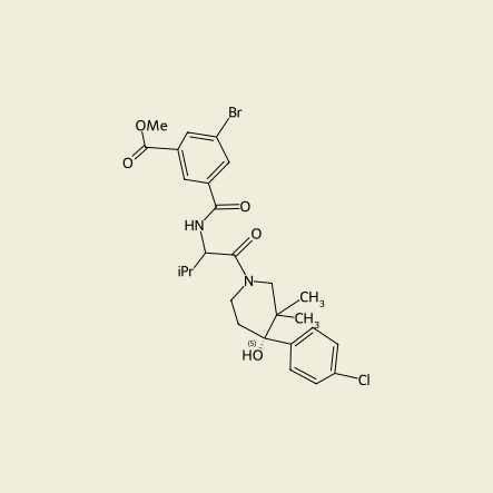 COC(=O)c1cc(Br)cc(C(=O)NC(C(=O)N2CC[C@](O)(c3ccc(Cl)cc3)C(C)(C)C2)C(C)C)c1